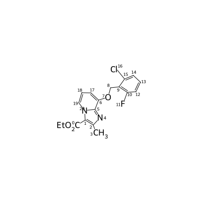 CCOC(=O)c1c(C)nc2c(OCc3c(F)cccc3Cl)cccn12